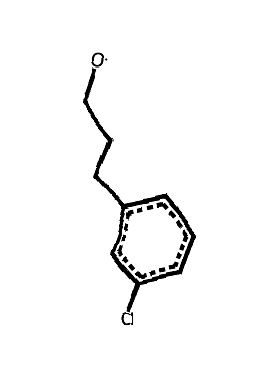 [O]CCCc1cccc(Cl)c1